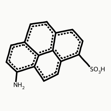 Nc1ccc2ccc3ccc(S(=O)(=O)O)c4ccc1c2c34